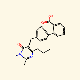 CCCc1nc(C)n(C)c(=O)c1Cc1ccc(-c2ccccc2C(=O)O)cc1